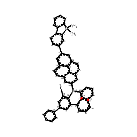 C[Si]1(C)c2ccccc2-c2ccc(-c3cc4ccc5cc(N(c6ccccc6)c6c(F)cc(-c7ccccc7)cc6-c6ccccc6)cc6ccc(c3)c4c56)cc21